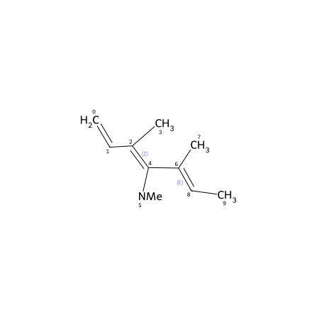 C=C/C(C)=C(NC)/C(C)=C/C